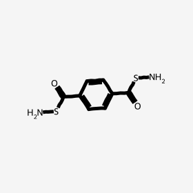 NSC(=O)c1ccc(C(=O)SN)cc1